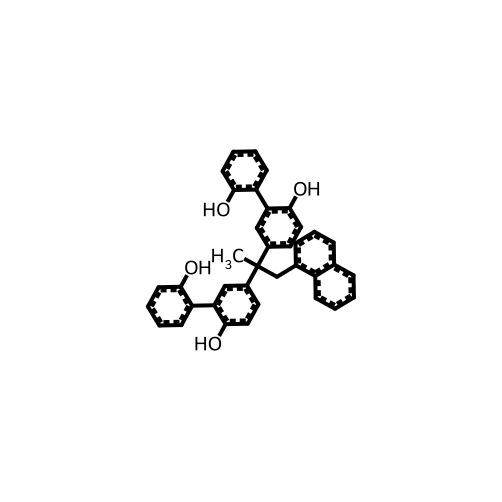 CC(Cc1cccc2ccccc12)(c1ccc(O)c(-c2ccccc2O)c1)c1ccc(O)c(-c2ccccc2O)c1